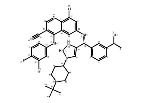 CC(O)c1cccc([C@H](Nc2cc(Cl)c3ncc(C#N)c(Nc4ccc(F)c(Cl)c4)c3c2)C2=CN(C3CCN(C(C)(C)C)CC3)NN2)c1